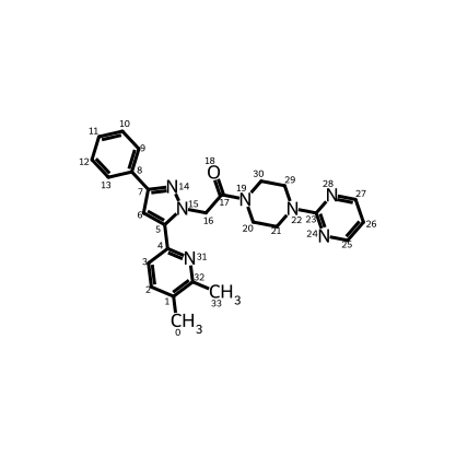 Cc1ccc(-c2cc(-c3ccccc3)nn2CC(=O)N2CCN(c3ncccn3)CC2)nc1C